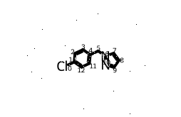 Clc1ccc(Cn2cccn2)cc1